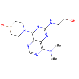 CCCCN(CCCC)c1ncnc2c(N3CC[S+]([O-])CC3)nc(NCCO)nc12